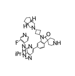 CC(C)n1cnc2cc(-c3ccc4c(c3)N([C@H]3C[C@@H](N5C[C@H]6CCC[C@H]6C5)C3)C(=O)C43CCNCC3)nc(Nc3ccncc3F)c21